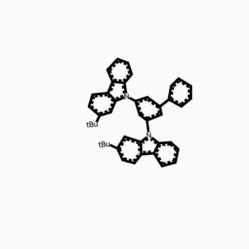 CC(C)(C)c1ccc2c3ccccc3n(-c3cc(-c4ccccc4)cc(-n4c5ccccc5c5ccc(C(C)(C)C)cc54)c3)c2c1